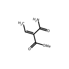 CC=C(C(N)=O)C(=O)OC